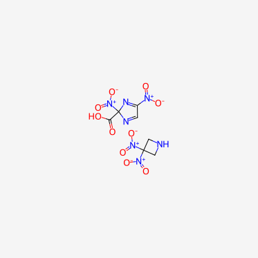 O=C(O)C1([N+](=O)[O-])N=CC([N+](=O)[O-])=N1.O=[N+]([O-])C1([N+](=O)[O-])CNC1